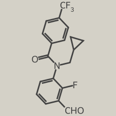 O=Cc1cccc(N(CC2CC2)C(=O)c2ccc(C(F)(F)F)cc2)c1F